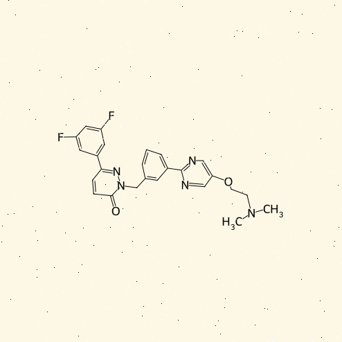 CN(C)CCOc1cnc(-c2cccc(Cn3nc(-c4cc(F)cc(F)c4)ccc3=O)c2)nc1